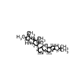 Cc1cc(Nc2cc(-c3ccnc(-n4ccn5c6c(cc5c4=O)CC(C)(C)C6)c3CO)cn(C)c2=O)nn1C